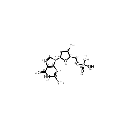 Nc1nc2c(ncn2[C@H]2CC(F)[C@@H](COP(=O)(O)O)O2)c(=O)[nH]1